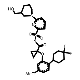 COc1ccc(C2CCC(F)(F)CC2)c(OC2(C(=O)NS(=O)(=O)c3cccc(N4CCCC(CO)C4)n3)CC2)c1